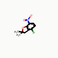 CC1(C)Cc2c(Br)ccc([N+](=O)[O-])c2O1